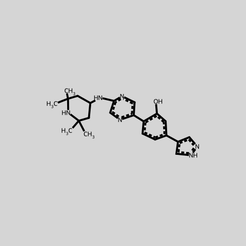 CC1(C)CC(Nc2cnc(-c3ccc(-c4cn[nH]c4)cc3O)cn2)CC(C)(C)N1